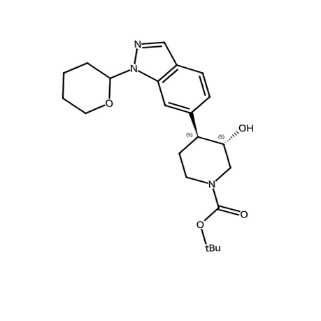 CC(C)(C)OC(=O)N1CC[C@@H](c2ccc3cnn(C4CCCCO4)c3c2)[C@H](O)C1